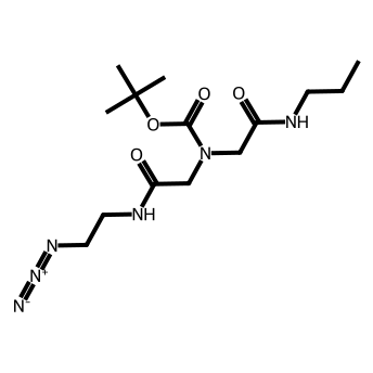 CCCNC(=O)CN(CC(=O)NCCN=[N+]=[N-])C(=O)OC(C)(C)C